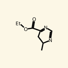 CCOC(=O)C1=NC=NC(C)C1